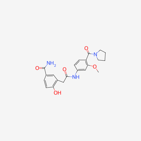 COc1cc(NC(=O)Cc2cc(C(N)=O)ccc2O)ccc1C(=O)N1CCCC1